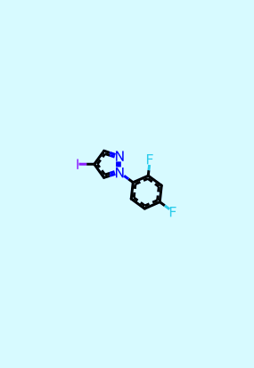 Fc1ccc(-n2cc(I)cn2)c(F)c1